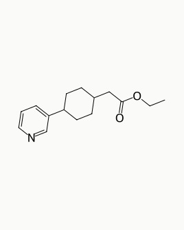 CCOC(=O)CC1CCC(c2cccnc2)CC1